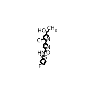 CCC(O)c1cnc(-c2ccc(C(=O)Nc3nc4cc(F)ccc4s3)nc2)c(Cl)c1